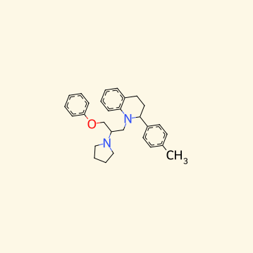 Cc1ccc(C2CCc3ccccc3N2CC(COc2ccccc2)N2CCCC2)cc1